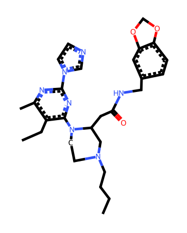 CCCCN1CCN(c2nc(-n3ccnc3)nc(C)c2CC)C(CC(=O)NCc2ccc3c(c2)OCO3)C1